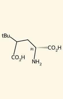 CC(C)(C)C(C[C@@H](N)C(=O)O)C(=O)O